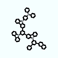 c1ccc(-c2cc(-c3ccc4ccccc4c3)cc(-n3c4ccccc4c4cc(-c5cc(-c6ccc7c(c6)c6ccccc6n7-c6ccc(N(c7ccccc7)c7ccccc7)cc6)cc(-n6c7ccccc7c7ccccc76)c5)ccc43)c2)cc1